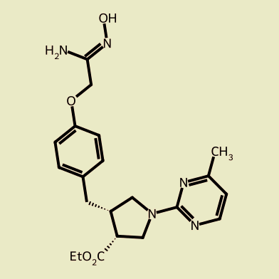 CCOC(=O)[C@H]1CN(c2nccc(C)n2)C[C@H]1Cc1ccc(OC/C(N)=N/O)cc1